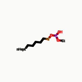 CCCCCCCCCCCCSOP(O)OCC